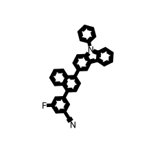 N#Cc1cc(F)cc(-c2ccc(-c3ccc4c(c3)c3ccccc3n4-c3ccccc3)c3ccccc23)c1